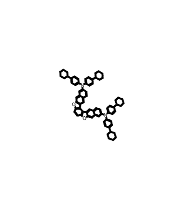 c1cc(N(c2ccc(C3CCCCC3)cc2)c2ccc3cc4c(cc3c2)oc2ccc3oc5cc6cc(N(c7ccc(C8CCCCC8)cc7)c7ccc(C8CCCCC8)cc7)ccc6cc5c3c24)ccc1C1CCCCC1